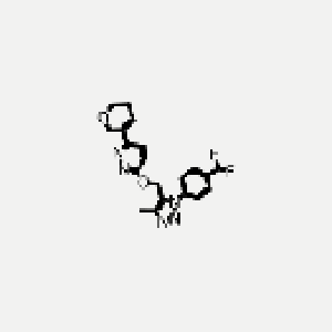 Cc1nnn(-c2ccc(C(F)F)cc2)c1COc1ccc(C2=CCCOC2)nn1